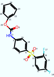 O=C(Nc1ccc(S(=O)(=O)c2ccc(F)cc2F)cc1)Oc1ccccc1